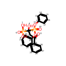 O=C(CC(O)(P(=O)(O)O)P(=O)(Oc1ccccc1)Oc1ccccc1)c1ccccc1